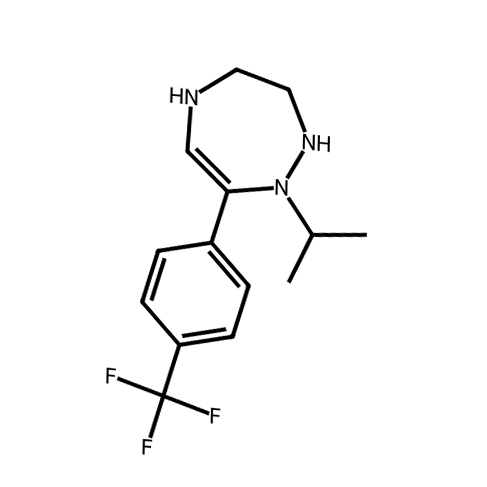 CC(C)N1NCCNC=C1c1ccc(C(F)(F)F)cc1